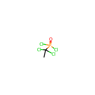 CC(Cl)(Cl)P(=O)(Cl)Cl